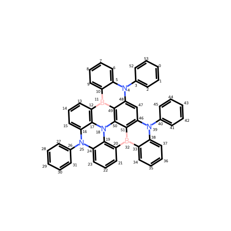 c1ccc(N2c3ccccc3B3c4cccc5c4N4c6c(cccc6N5c5ccccc5)B5c6ccccc6N(c6ccccc6)c6cc2c3c4c65)cc1